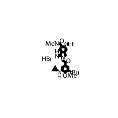 Br.CCOc1cc2c(cc1C(=O)NC)C(=N)N(CC(=O)c1cc(NC3CC3)c(OC)c(C(C)(C)C)c1)C2